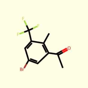 CC(=O)c1cc(Br)cc(C(F)(F)F)c1C